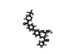 CC(C)(C)N1CCN(C(=O)c2ccc(-c3ccc4c(c3)N=C(N)CC(C(=O)N3CCCC3)=C4)cc2)CC1